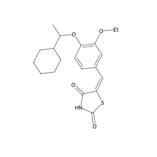 CCOc1cc(C=C2SC(=O)NC2=O)ccc1OC(C)C1CCCCC1